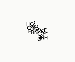 CCC(O)C(=O)N1[C@H](C(=O)NC(CC2CCNC2=O)C(=O)COC(F)(F)F)C[C@@H]2CCCC[C@@H]21